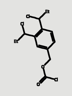 CCC(Cl)c1ccc(COC(=O)Cl)cc1C(Cl)CC